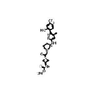 Cc1cc(N[C@@H]2CCCN(CC(=O)N3CC(NC(=O)OC(C)(C)C)C3)C2)nnc1-c1ccc(C(F)(F)F)cc1O